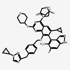 Cc1c(F)cc2[nH]ncc2c1-c1c(C2CC2)cc2c(N3C[C@@H]4C[C@H]3CN4)nc(OC3CCOCC3)nc2c1OCc1ccc(Cc2ncn(C3CC3)n2)cc1